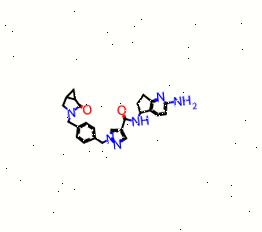 Nc1ccc2c(n1)CCC2NC(=O)c1cnn(Cc2ccc(CN3CC4CC4C3=O)cc2)c1